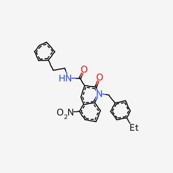 CCc1ccc(Cn2c(=O)c(C(=O)NCCc3ccccc3)cc3c([N+](=O)[O-])cccc32)cc1